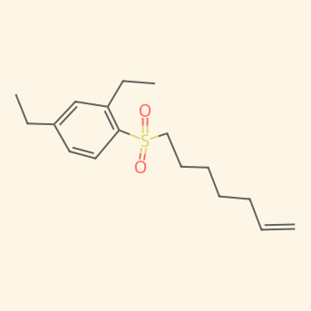 C=CCCCCCS(=O)(=O)c1ccc(CC)cc1CC